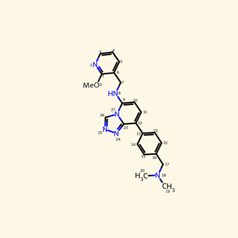 COc1ncccc1CNc1ccc(-c2ccc(CN(C)C)cc2)c2nncn12